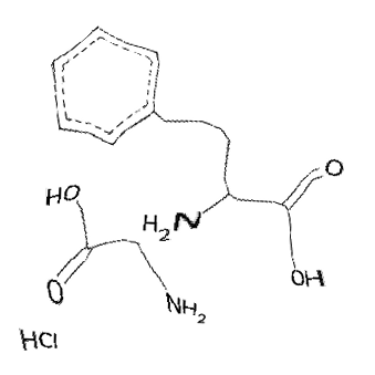 Cl.NC(Cc1ccccc1)C(=O)O.NCC(=O)O